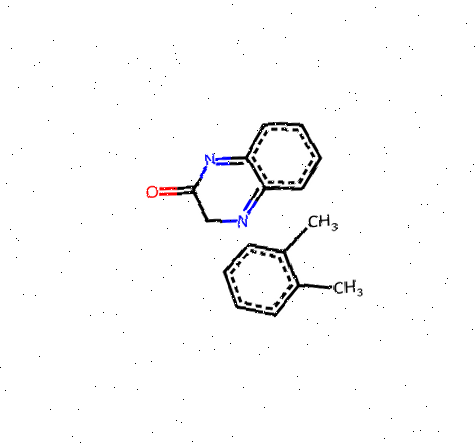 Cc1ccccc1C.O=C1CN=c2ccccc2=N1